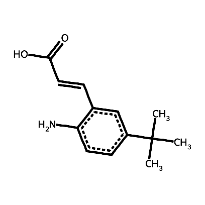 CC(C)(C)c1ccc(N)c(/C=C/C(=O)O)c1